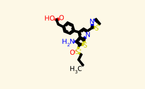 CCCC[S+]([O-])c1sc2nc(-c3nccs3)cc(-c3ccc(CC(=O)O)cc3)c2c1N